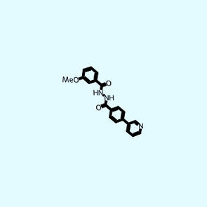 COc1cccc(C(=O)NNC(=O)c2ccc(-c3cccnc3)cc2)c1